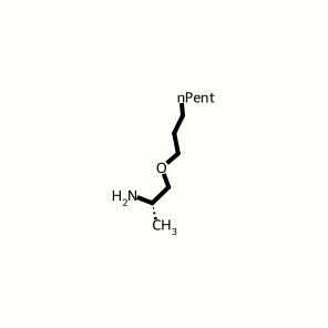 CCCCCCCCOC[C@H](C)N